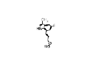 Cc1c[nH]c2c(/C=C/COO)cc(F)cc12